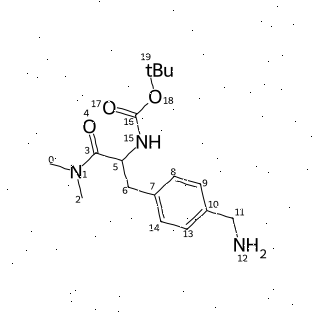 CN(C)C(=O)C(Cc1ccc(CN)cc1)NC(=O)OC(C)(C)C